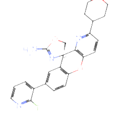 NC1=N[C@@]2(CO1)c1cc(-c3cccnc3F)ccc1Oc1ccc(C3CCOCC3)nc12